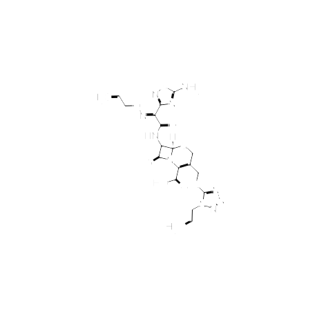 C=CCON=C(C(=O)NC1C(=O)N2C(C(=O)O)=C(CSc3nnnn3CC=C)CS[C@@H]12)c1nsc(N)n1